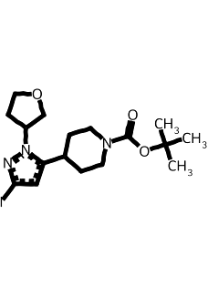 CC(C)(C)OC(=O)N1CCC(c2cc(I)nn2C2CCOC2)CC1